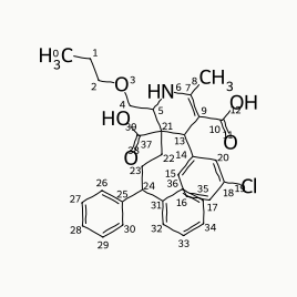 CCCOCC1NC(C)=C(C(=O)O)C(c2cccc(Cl)c2)C1(CCC(c1ccccc1)c1ccccc1)C(=O)O